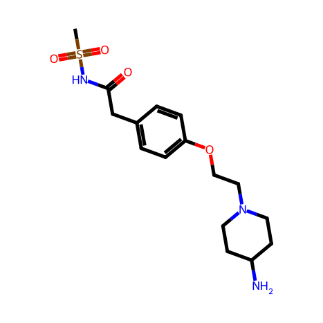 CS(=O)(=O)NC(=O)Cc1ccc(OCCN2CCC(N)CC2)cc1